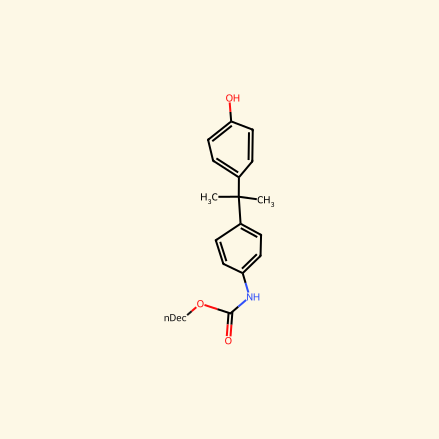 CCCCCCCCCCOC(=O)Nc1ccc(C(C)(C)c2ccc(O)cc2)cc1